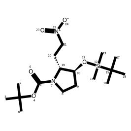 CC(C)(C)OC(=O)N1CC[C@H](O[Si](C)(C)C(C)(C)C)[C@H]1CC[N+](=O)[O-]